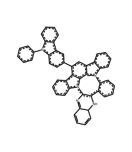 C1=CC2=Nc3c(c4ccccc4n4c5ccccc5c5cc(-c6ccc7c(c6)c6ccccc6n7-c6ccccc6)c6c7ccccc7n3c6c54)NC2C=C1